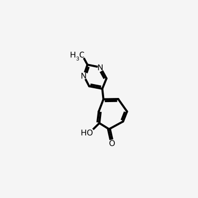 Cc1ncc(-c2cccc(=O)c(O)c2)cn1